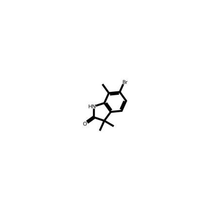 Cc1c(Br)ccc2c1NC(=O)C2(C)C